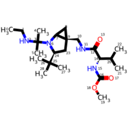 CCNC(C)(C)N1C2C[C@]2(CNC(=O)[C@@H](NC(=O)OC)C(C)C)C[C@H]1C(C)(C)C